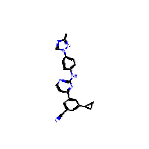 Cc1ncn(-c2ccc(Nc3nccc(-c4cc(C#N)cc(C5CC5)c4)n3)cc2)n1